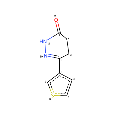 O=C1CCC(c2ccsc2)=NN1